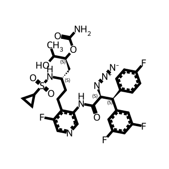 CC(O)[C@H](C[C@H](CCc1c(F)cncc1NC(=O)[C@@H](N=[N+]=[N-])[C@@H](c1ccc(F)cc1)c1cc(F)cc(F)c1)NS(=O)(=O)C1CC1)OC(N)=O